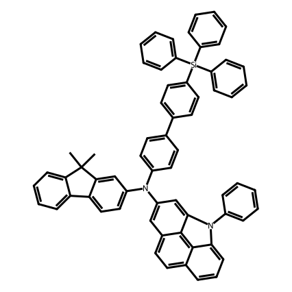 CC1(C)c2ccccc2-c2ccc(N(c3ccc(-c4ccc([Si](c5ccccc5)(c5ccccc5)c5ccccc5)cc4)cc3)c3cc4ccc5cccc6c5c4c(c3)n6-c3ccccc3)cc21